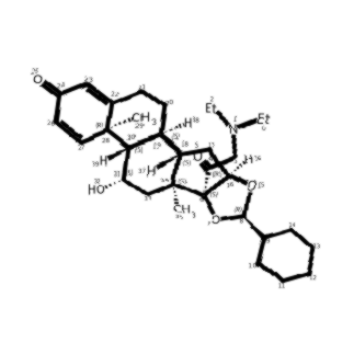 CCN(CC)CC(=O)[C@@]12O[C@H](C3CCCCC3)O[C@@H]1C[C@H]1[C@@H]3CCC4=CC(=O)C=C[C@]4(C)[C@H]3[C@@H](O)C[C@@]12C